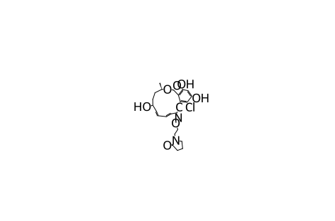 C[C@@H]1CC[C@H](O)\C=C/C=C/C(=N\OCCN2CCCC2=O)Cc2c(Cl)c(O)cc(O)c2C(=O)O1